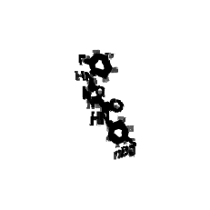 CCCCSc1ccc(NC(=O)c2nnc(Nc3ccccc3F)o2)cc1